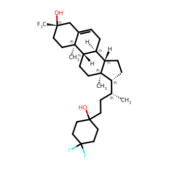 C[C@H](CCC1(O)CCC(F)(F)CC1)[C@H]1CC[C@H]2[C@@H]3CC=C4C[C@](O)(C(F)(F)F)CC[C@]4(C)[C@H]3CC[C@]12C